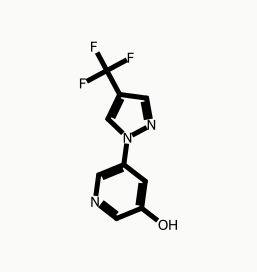 Oc1cncc(-n2cc(C(F)(F)F)cn2)c1